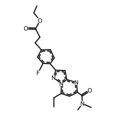 CCOC(=O)CCc1ccc(-c2cc3nc(C(=O)N(C)C)cc(CC)n3n2)c(F)c1